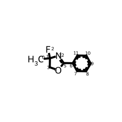 CC1(F)COC(c2ccccc2)=N1